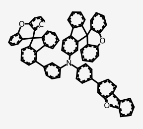 c1cc(-c2cccc3c2-c2ccccc2C32c3ccccc3Oc3ccccc32)cc(N(c2ccc(-c3ccc4c(c3)oc3ccccc34)cc2)c2ccc3c(c2)C2(c4ccccc4Oc4ccccc42)c2ccccc2-3)c1